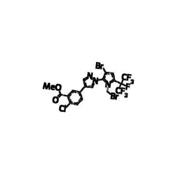 COC(=O)c1cc(-c2cnn(-c3c(Br)cc(C(F)(C(F)(F)F)C(F)(F)F)n3CBr)c2)ccc1Cl